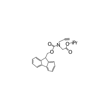 C#CCN(CC(=O)OC(C)C)C(=O)OCC1c2ccccc2-c2ccccc21